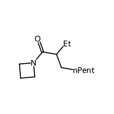 CCCCCCC(CC)C(=O)N1CCC1